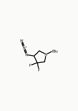 CC(C)(C)N1CC(N=[N+]=[N-])C(F)(F)C1